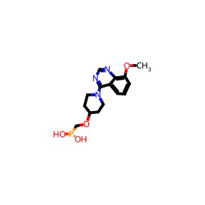 COc1cccc2c(N3CCC(OCP(O)O)CC3)ncnc12